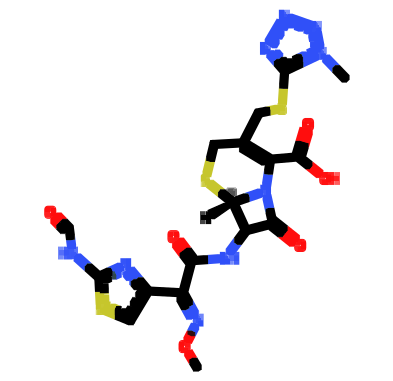 CON=C(C(=O)NC1C(=O)N2C(C(=O)O)=C(CSc3nnnn3C)CS[C@@H]12)c1csc(NC=O)n1